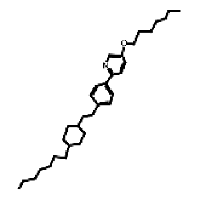 CCCCCCCOc1ccc(-c2ccc(CCC3CCC(CCCCCCC)CC3)cc2)nc1